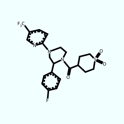 O=C(C1CCS(=O)(=O)CC1)N1CCN(c2ccc(C(F)(F)F)cn2)CC1c1ccc(F)cc1